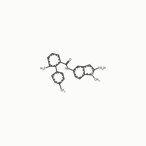 Cc1cccc(C(=O)Nc2ccc3c(c2)cc(C(=O)O)n3C)c1-c1ccc(C(F)(F)F)cc1